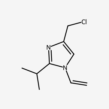 C=Cn1cc(CCl)nc1C(C)C